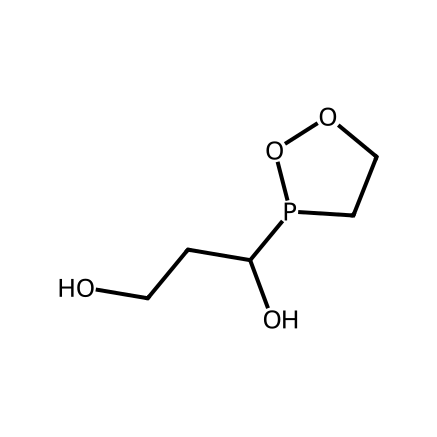 OCCC(O)P1CCOO1